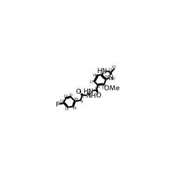 COc1c(C(=O)NNC(=O)Cc2ccc(F)cc2)ccc2[nH]c(C)nc12